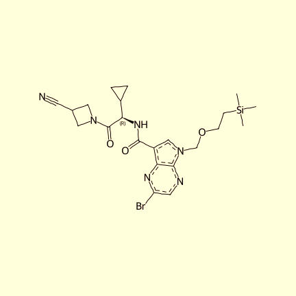 C[Si](C)(C)CCOCn1cc(C(=O)N[C@@H](C(=O)N2CC(C#N)C2)C2CC2)c2nc(Br)cnc21